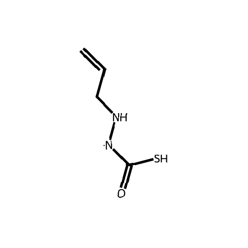 C=CCN[N]C(=O)S